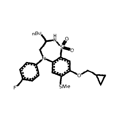 CCCCC1CN(c2ccc(F)cc2)c2cc(SC)c(OCC3CC3)cc2S(=O)(=O)N1